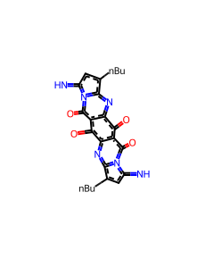 CCCCc1cc(=N)n2c(=O)c3c(=O)c4nc5c(CCCC)cc(=N)n5c(=O)c4c(=O)c3nc12